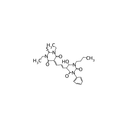 CCCCN1C(=O)N(c2ccccc2)C(=O)C(C=CC=C2C(=O)N(CC)C(=S)N(CC)C2=O)C1O